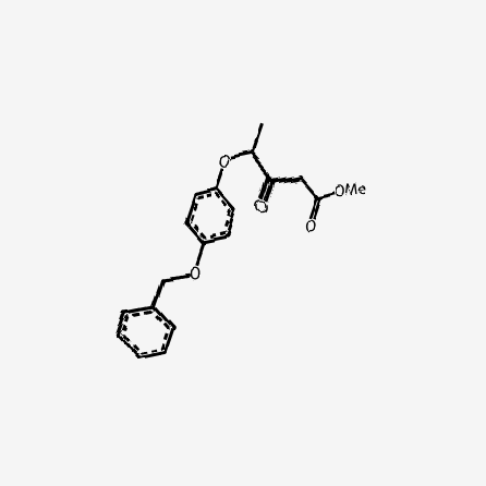 COC(=O)CC(=O)C(C)Oc1ccc(OCc2ccccc2)cc1